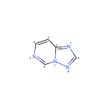 [c]1nc2ccncn2n1